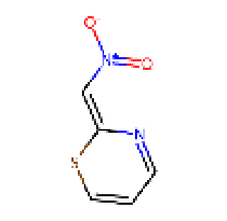 O=[N+]([O-])C=C1N=CC=CS1